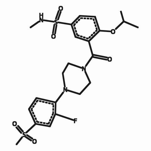 CNS(=O)(=O)c1ccc(OC(C)C)c(C(=O)N2CCN(c3ccc(S(C)(=O)=O)cc3F)CC2)c1